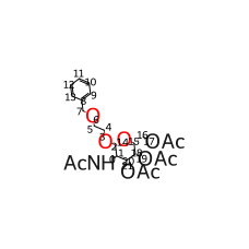 CC(=O)N[C@H]1[C@H](OCCOCc2ccccc2)O[C@H](COC(C)=O)[C@H](OC(C)=O)[C@@H]1OC(C)=O